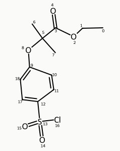 CCOC(=O)C(C)(C)Oc1ccc(S(=O)(=O)Cl)cc1